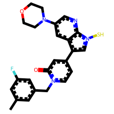 Cc1cc(F)cc(Cn2ccc(-c3cn(S)c4ncc(N5CCOCC5)cc34)cc2=O)c1